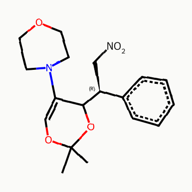 CC1(C)OC=C(N2CCOCC2)C([C@@H](C[N+](=O)[O-])c2ccccc2)O1